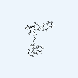 NC(=O)C(CCCCCNc1c2c(nc3ccccc13)CCCC2)c1cc(-c2ccc3ccccc3c2)ccc1N